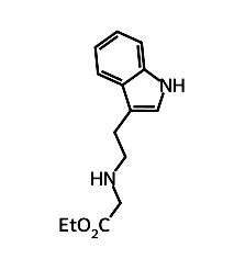 CCOC(=O)CNCCc1c[nH]c2ccccc12